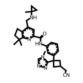 Cn1cnnc1C1(c2cccc(NC(=O)c3cc(CNC4(C)CC4)c4c(n3)C(C)(C)CC4)c2)CC(CC#N)C1